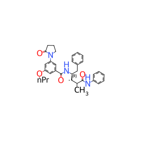 CCCOc1cc(C(=O)N[C@H]([CH]C(C)C(=O)Nc2ccccc2)Cc2ccccc2)cc(N2CCCC2=O)c1